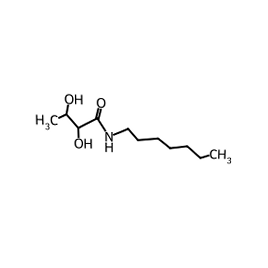 CCCCCCCNC(=O)C(O)C(C)O